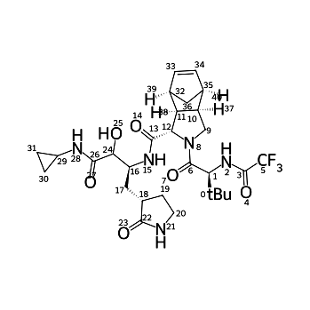 CC(C)(C)[C@H](NC(=O)C(F)(F)F)C(=O)N1C[C@H]2[C@@H]([C@H]1C(=O)N[C@@H](C[C@@H]1CCNC1=O)C(O)C(=O)NC1CC1)[C@H]1C=C[C@@H]2C1